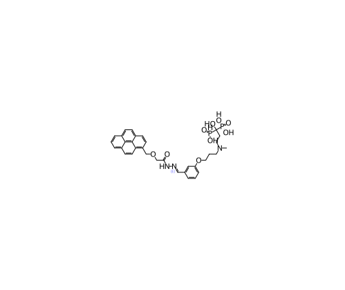 CN(CCCOc1cccc(/C=N/NC(=O)COCc2ccc3ccc4cccc5ccc2c3c45)c1)CCC(O)([PH](=O)O)P(=O)(O)O